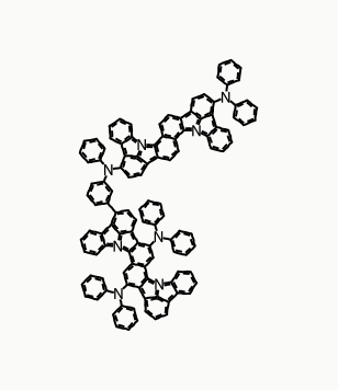 c1ccc(N(c2ccccc2)c2ccc3c4ccc5c(ccc6c7ccc(N(c8ccccc8)c8cccc(-c9ccc%10c%11c(N(c%12ccccc%12)c%12ccccc%12)cc%12c(cc(N(c%13ccccc%13)c%13ccccc%13)c%13c%14cccc%15c%16ccccc%16n(c%15%14)c%12%13)c%11n%11c%12ccccc%12c9c%10%11)c8)c8c9ccccc9n(c56)c78)c4n4c5ccccc5c2c34)cc1